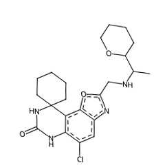 CC(NCc1nc2cc(Cl)c3c(c2o1)C1(CCCCC1)NC(=O)N3)C1CCCCO1